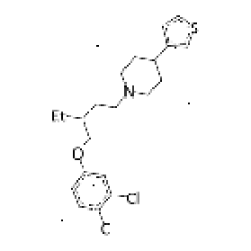 CCC(CCN1CCC(c2ccsc2)CC1)COc1ccc(Cl)c(Cl)c1